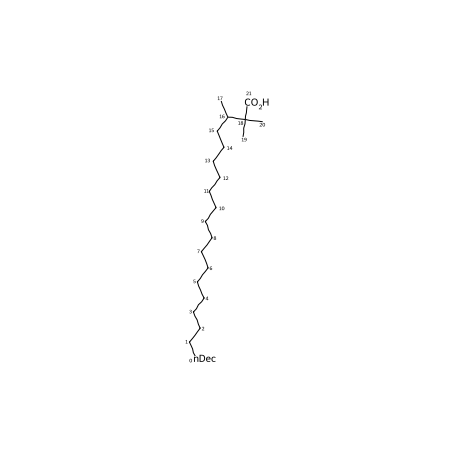 CCCCCCCCCCCCCCCCCCCCCCCCCC(C)C(C)(C)C(=O)O